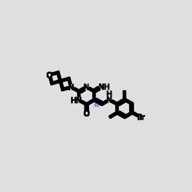 Cc1cc(Br)cc(C)c1N/C=C1\C(=N)N=C(N2CC3(COC3)C2)NC1=O